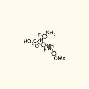 COc1ccc(C=NNc2cc3c(cc2F)c(=O)c(C(=O)O)cn3-c2ccc(N)cc2F)cc1